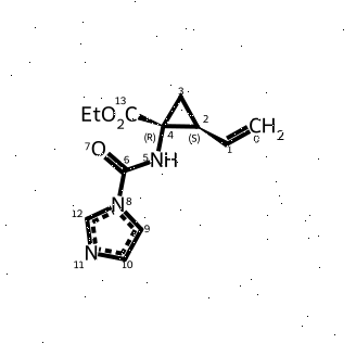 C=C[C@@H]1C[C@]1(NC(=O)n1ccnc1)C(=O)OCC